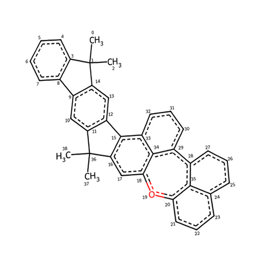 CC1(C)c2ccccc2-c2cc3c(cc21)-c1c(cc2oc4cccc5cccc(c6cccc1c26)c54)C3(C)C